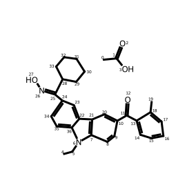 CC(=O)O.CCn1c2ccc(C(=O)c3ccccc3C)cc2c2cc(C(=NO)C3CCCCC3)ccc21